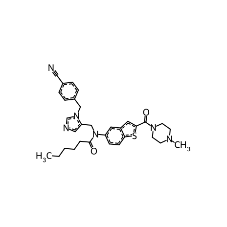 CCCCCC(=O)N(Cc1cncn1Cc1ccc(C#N)cc1)c1ccc2sc(C(=O)N3CCN(C)CC3)cc2c1